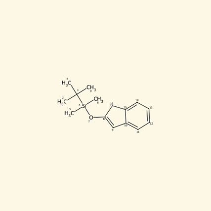 CC(C)(C)[Si](C)(C)OC1=Cc2ccccc2[CH]1